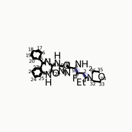 CC/C(=C\C(F)=C(/N)c1nnc(NC2N=C(c3ccccc3)c3ccccc3NC2=O)o1)N1CCOCC1